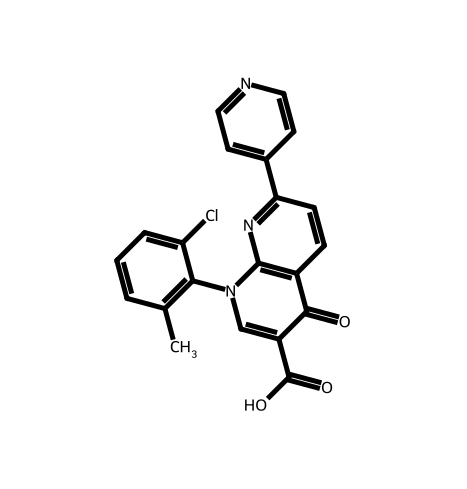 Cc1cccc(Cl)c1-n1cc(C(=O)O)c(=O)c2ccc(-c3ccncc3)nc21